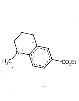 CCOC(=O)c1ccc2c(c1)CCCN2C